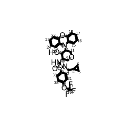 O=S(=NCC1CC1)(N[C@H]1COC[C@H](N2c3ccccc3Oc3ccccc32)[C@H]1O)c1ccc(OC(F)(F)F)cc1